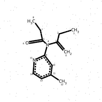 C=C(CC)N(C(=O)CC)c1cc(C)ccn1